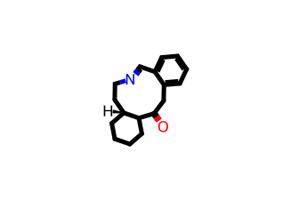 O=C1Cc2ccccc2/C=N/CC[C@H]2CCCCC12